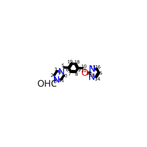 O=CN1CCN(Cc2ccc(COc3n[c]ccn3)cc2)CC1